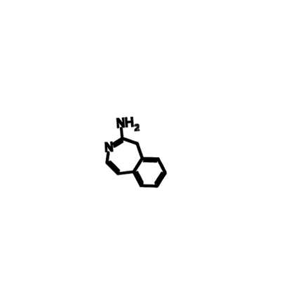 NC1=NC=Cc2ccccc2C1